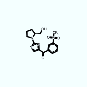 O=C(c1cccc(S(=O)(=O)C(F)(F)F)c1)c1cnc(N2CCC[C@H]2CO)s1